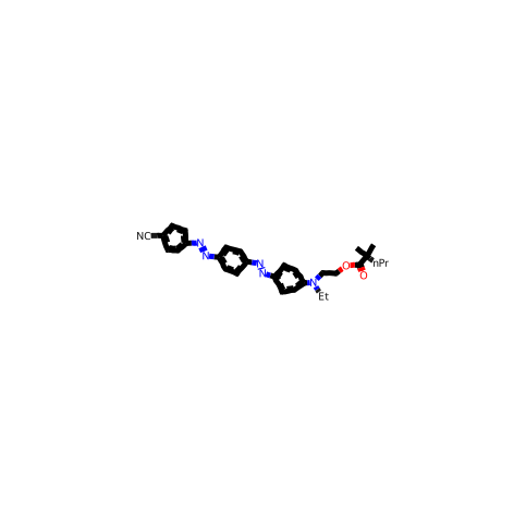 CCCC(C)(C)C(=O)OCCN(CC)c1ccc(/N=N/c2ccc(/N=N/c3ccc(C#N)cc3)cc2)cc1